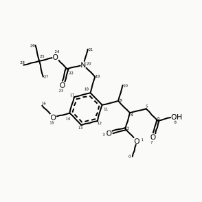 COC(=O)C(CC(=O)O)C(C)c1ccc(OC)cc1CN(C)C(=O)OC(C)(C)C